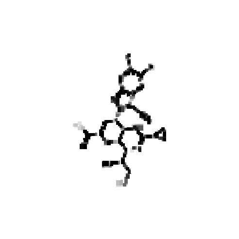 N#Cc1c2cc(Br)c(Cl)cc2nn1[C@H]1C=C(C(=O)O)O[C@@H]([C@H](O)[C@H](O)CO)[C@@H]1NC(=O)C1CC1